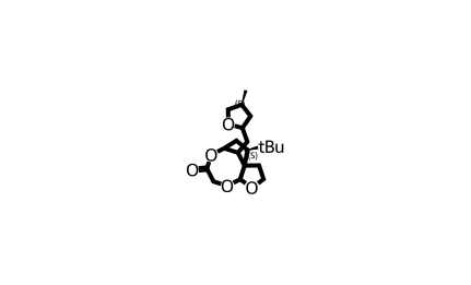 C[C@@H]1COC(CC2C3C[C@@H](C(C)(C)C)C24CCOC4OCC(=O)O3)C1